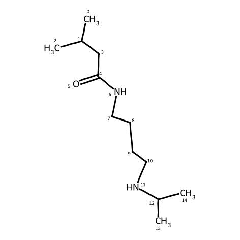 CC(C)CC(=O)NCCCCNC(C)C